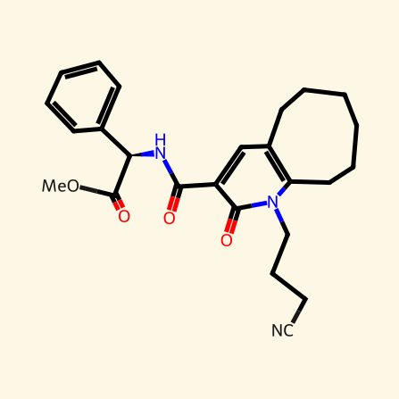 COC(=O)[C@H](NC(=O)c1cc2c(n(CCCC#N)c1=O)CCCCCC2)c1ccccc1